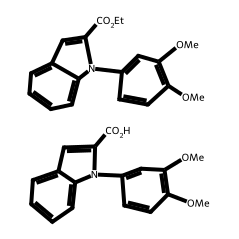 CCOC(=O)c1cc2ccccc2n1-c1ccc(OC)c(OC)c1.COc1ccc(-n2c(C(=O)O)cc3ccccc32)cc1OC